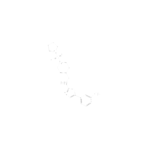 Cc1[c]ccc(-c2cnc(NCC3CCN(S(=O)(=O)N4CCCC4)CC3)s2)c1